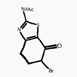 CC(=O)Nc1nc2c(s1)C(=O)C(Br)CC2